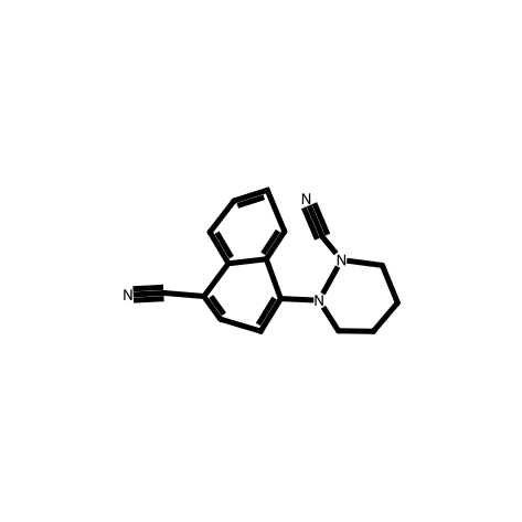 N#Cc1ccc(N2CCCCN2C#N)c2ccccc12